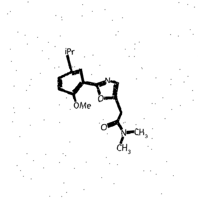 COc1ccc(C(C)C)cc1-c1ncc(CC(=O)N(C)C)o1